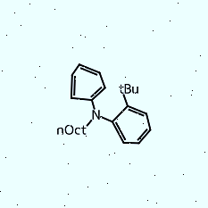 CCCCCCCCN(c1ccccc1)c1ccccc1C(C)(C)C